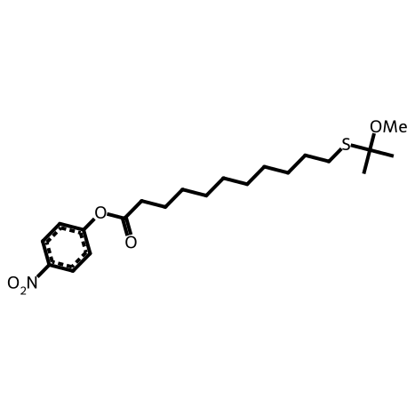 COC(C)(C)SCCCCCCCCCCC(=O)Oc1ccc([N+](=O)[O-])cc1